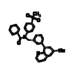 CC(C)(C)c1cc(-c2cccc(CN(C(=O)c3ccccc3)c3ccc(S(C)(=O)=O)cc3)c2)c2ncccc2c1